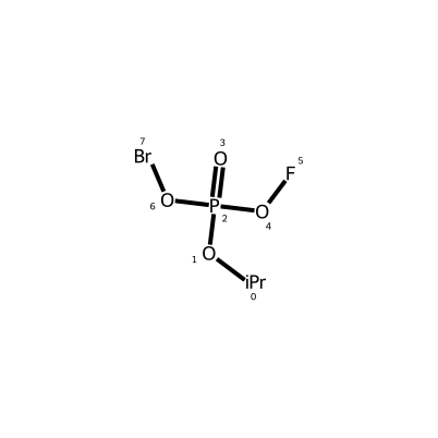 CC(C)OP(=O)(OF)OBr